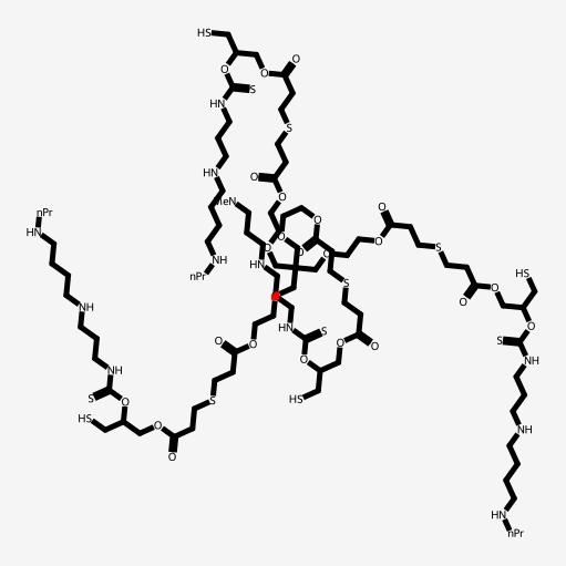 CCCNCCCCNCCCNC(=S)OC(CS)COC(=O)CCSCCC(=O)OCCOCC(COCCOC(=O)CCSCCC(=O)OCC(CS)OC(=S)NCCCNCCCCNCCC)(COCCOC(=O)CCSCCC(=O)OCC(CS)OC(=S)NCCCNCCCCNCCC)COCCOC(=O)CCSCCC(=O)OCC(CS)OC(=S)NCCCNCCCNC